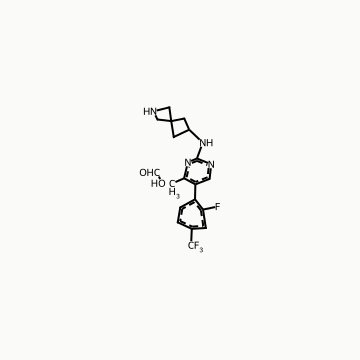 Cc1nc(NC2CC3(CNC3)C2)ncc1-c1ccc(C(F)(F)F)cc1F.O=CO